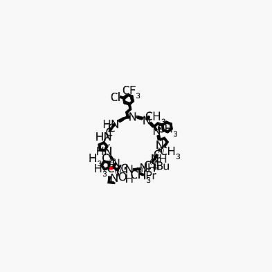 CC[C@H](C)[C@H]1CN[C@@H](CC(C)C)C(C)NCC2[C@@H](C(=O)N3CCC3)C(C)N2[C@@H](C2CCCC2)C(C)NC2(CCCC2)CNCCNC=CC(CCc2ccc(C(F)(F)F)c(Cl)c2)=NC=CN(C)C=C(CC2CCCCC2)N(C)C=C2CCCN2[C@@H](C)CN1